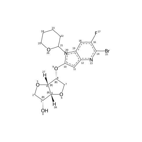 O[C@@H]1CO[C@H]2[C@@H]1OC[C@H]2Oc1cc2nc(Br)c(F)cc2n1C1CCCCO1